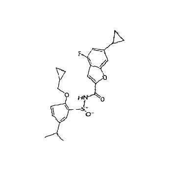 CC(C)c1ccc(OCC2CC2)c([S+]([O-])NC(=O)c2cc3c(F)cc(C4CC4)cc3o2)c1